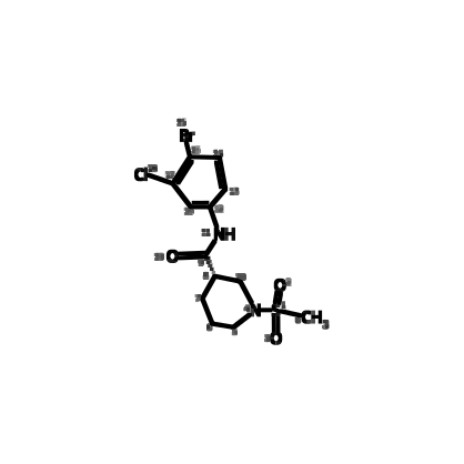 CS(=O)(=O)N1CCC[C@H](C(=O)Nc2ccc(Br)c(Cl)c2)C1